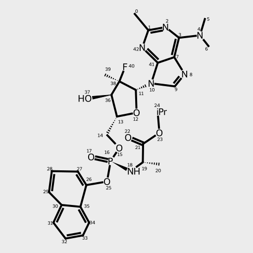 Cc1nc(N(C)C)c2ncn([C@@H]3O[C@H](CO[P@](=O)(N[C@@H](C)C(=O)OC(C)C)Oc4cccc5ccccc45)[C@@H](O)[C@@]3(C)F)c2n1